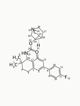 CC1(C)CCc2cc(-c3ccc(F)cc3)ccc2C1NC(=O)O[C@H]1CN2CCC1CC2